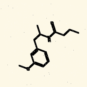 CCCC(=O)NC(C)Cc1cccc(OC)c1